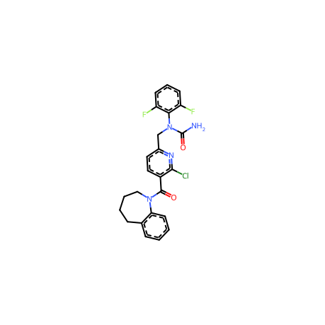 NC(=O)N(Cc1ccc(C(=O)N2CCCCc3ccccc32)c(Cl)n1)c1c(F)cccc1F